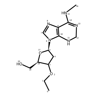 CCOC1C[C@H](n2cnc3c2NCN=C3NC)O[C@@H]1CO